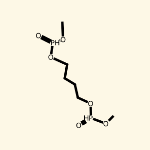 CO[PH](=O)OCCCCO[PH](=O)OC